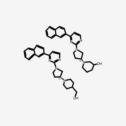 OC1CCCN([C@H]2CCN(c3nccc(-c4ccc5ccccc5c4)n3)C2)C1.OCC1CCN([C@H]2CCN(c3nccc(-c4ccc5ccccc5c4)n3)C2)CC1